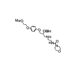 COCCOc1ccc(OCC(O)CNCCNC(=O)N2CCOCC2)cc1.Cl